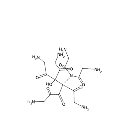 NCC(=O)C(=O)[C@@](C(=O)CN)(N(C(=O)CN)C(=O)CN)C(O)(C(=O)CN)C(=O)CN